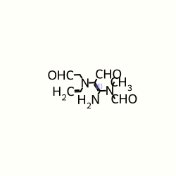 C=CN(CC=O)/C(C=O)=C(\N)N(C)C=O